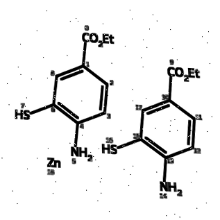 CCOC(=O)c1ccc(N)c(S)c1.CCOC(=O)c1ccc(N)c(S)c1.[Zn]